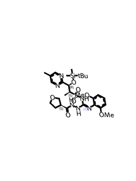 COc1cccc(OC)c1/N=C(/NNC(=O)[C@H]1CCOC1)NS(=O)(=O)[C@@H](C)[C@H](O[Si](C)(C)C(C)(C)C)c1ncc(C)cn1